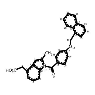 Cc1cc2c(CC(=O)O)cccc2n1C(=O)c1ccc(OCc2cccc3ccccc23)cc1